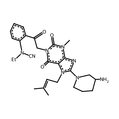 CCN(C#N)c1ccccc1C(=O)Cn1c(=O)c2c(nc(N3CCCC(N)C3)n2CC=C(C)C)n(C)c1=O